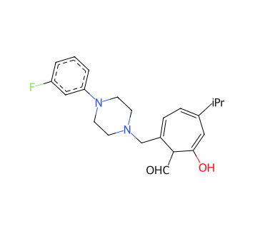 CC(C)C1=CC=C(CN2CCN(c3cccc(F)c3)CC2)C(C=O)C(O)=C1